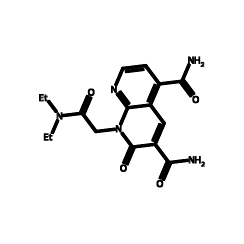 CCN(CC)C(=O)Cn1c(=O)c(C(N)=O)cc2c(C(N)=O)ccnc21